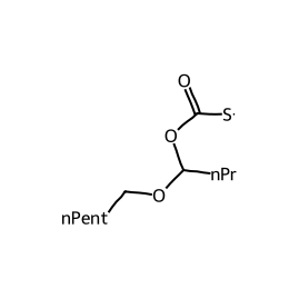 CCCCCCOC(CCC)OC(=O)[S]